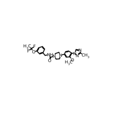 COc1cc(N2CCN(C(=O)NCc3cccc(OC(C)(F)F)c3)CC2)ccc1-n1cnc(C)n1